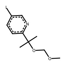 COCOC(C)(C)c1ccc(I)cn1